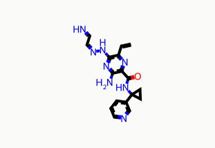 C=Cc1nc(C(=O)NC2(c3cccnc3)CC2)c(N)nc1N/N=C\C=N